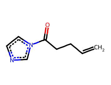 C=CCCC(=O)n1ccnc1